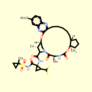 CC[C@H]1C(C(=O)N[C@]2(C(=O)NS(=O)(=O)C3(C)CC3)CC2C(F)F)N2C[C@@H]1Oc1nc3cc(OC)ccc3nc1CCCCC[C@@H]1CCC[C@@]1(C)OC(=O)N[C@@H](C(C)(C)C)C2=O